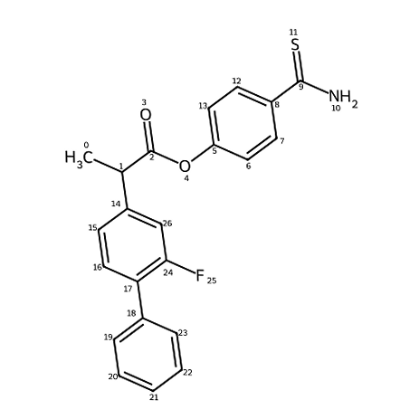 CC(C(=O)Oc1ccc(C(N)=S)cc1)c1ccc(-c2ccccc2)c(F)c1